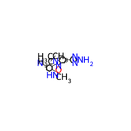 CNC(=O)c1ccc(C#N)cc1-c1nc2cc(-c3cnc(N)nc3)ccc2n1C(C)(C)C